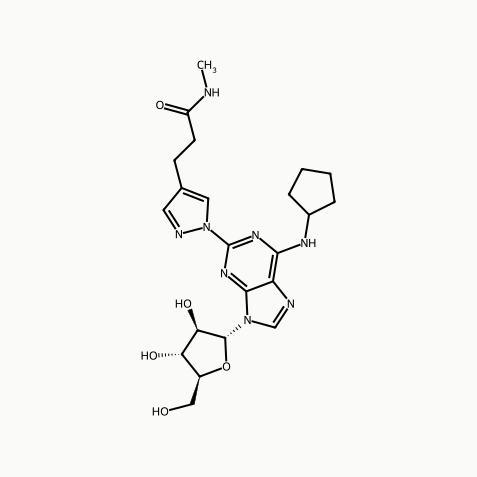 CNC(=O)CCc1cnn(-c2nc(NC3CCCC3)c3ncn([C@@H]4O[C@@H](CO)[C@H](O)[C@H]4O)c3n2)c1